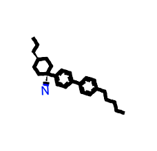 CCCCCc1ccc(-c2ccc([C@]3(C#N)CC[C@H](CCC)CC3)cc2)cc1